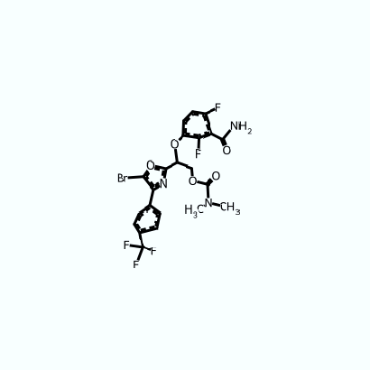 CN(C)C(=O)OCC(Oc1ccc(F)c(C(N)=O)c1F)c1nc(-c2ccc(C(F)(F)F)cc2)c(Br)o1